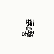 CCNC(=N)NC1CCC(CNc2ncc[nH]2)CC1